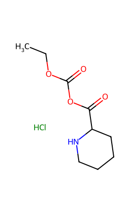 CCOC(=O)OC(=O)C1CCCCN1.Cl